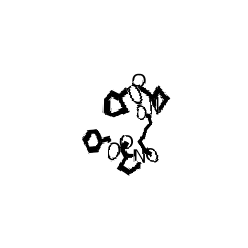 O=C(OCc1ccccc1)C1CCCN1C(=O)CCCCC(=O)N1CCCC1C(=O)OCc1ccccc1